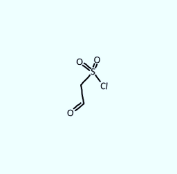 O=CCS(=O)(=O)Cl